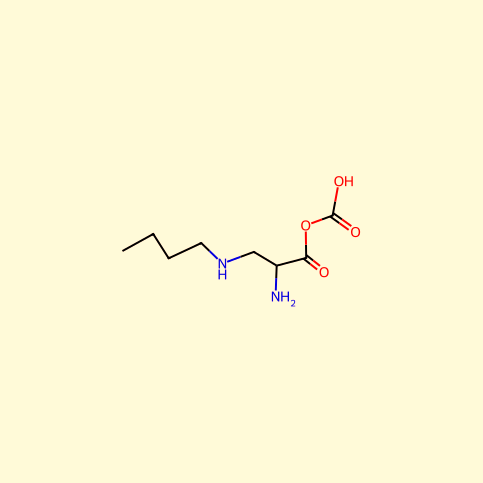 CCCCNCC(N)C(=O)OC(=O)O